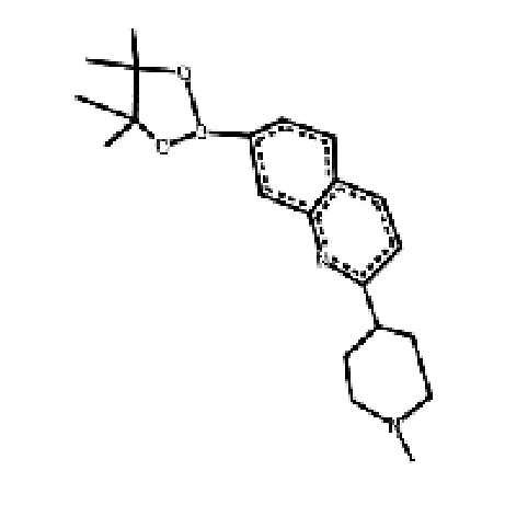 CN1CCC(c2ccc3ccc(B4OC(C)(C)C(C)(C)O4)cc3n2)CC1